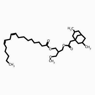 CCCCC/C=C\C/C=C\CCCCCCCC(=O)OCC(COC)COC(=O)CC12CC(C)CC(CC(C)C1)C2